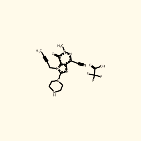 CC#CCn1c(N2CCNCC2)nc2c(C#N)nn(C)c(=O)c21.O=C(O)C(F)(F)F